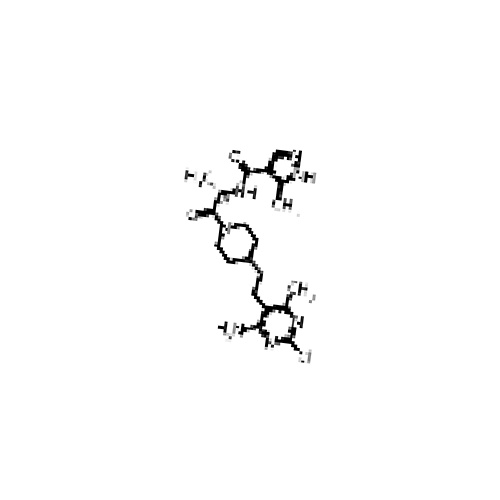 Cc1nc(Cl)nc(N)c1CCC1CCN(C(=O)[C@H](C)NC(=O)c2cn[nH]c2C)CC1